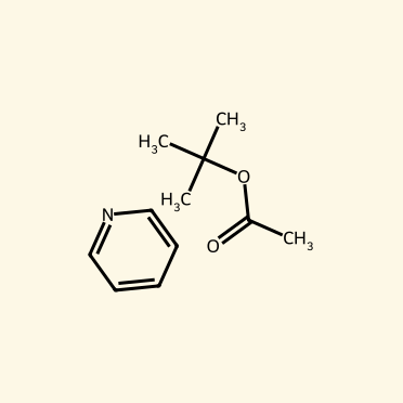 CC(=O)OC(C)(C)C.c1ccncc1